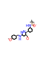 COc1ccc(CNc2cc(C=O)c(-c3cccc(N[S+]([O-])C(C)(C)C)c3)nn2)cc1